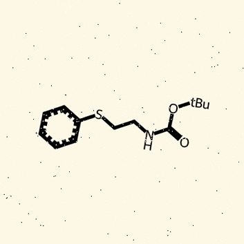 CC(C)(C)OC(=O)NCCSc1cc[c]cc1